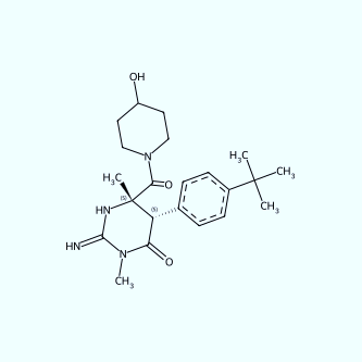 CN1C(=N)N[C@](C)(C(=O)N2CCC(O)CC2)[C@H](c2ccc(C(C)(C)C)cc2)C1=O